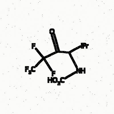 CC(C)C(NC(=O)O)C(=O)C(F)(F)C(F)(F)F